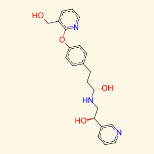 OCc1cccnc1Oc1ccc(CC[C@H](O)NC[C@H](O)c2cccnc2)cc1